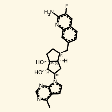 Cc1ncnc2c1ccn2[C@@H]1C[C@@H]2[C@H](Cc3ccc4cc(F)c(N)nc4c3)CC[C@]2(O)[C@H]1O